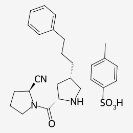 Cc1ccc(S(=O)(=O)O)cc1.N#C[C@@H]1CCCN1C(=O)[C@@H]1C[C@H](CCCc2ccccc2)CN1